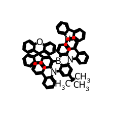 CC(C)(C)c1cc2c3c(c1)N(c1ccccc1-c1ccccc1)c1cc4c(cc1B3c1ccc(-n3c5ccccc5c5ccccc53)cc1N2c1ccccc1-c1ccccc1)C1(c2ccccc2Oc2ccccc21)c1ccccc1-4